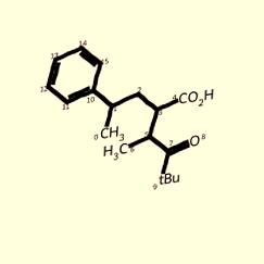 CC(CC(C(=O)O)C(C)C(=O)C(C)(C)C)c1ccccc1